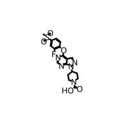 CS(=O)(=O)c1ccc(Oc2ncnc3c2cnn3C2CCN(C(=O)O)CC2)c(F)c1